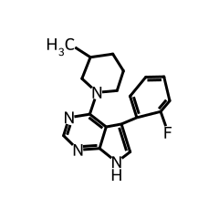 CC1CCCN(c2ncnc3[nH]cc(-c4ccccc4F)c23)C1